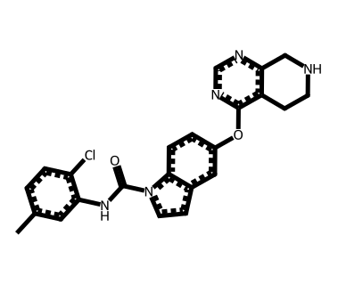 Cc1ccc(Cl)c(NC(=O)n2ccc3cc(Oc4ncnc5c4CCNC5)ccc32)c1